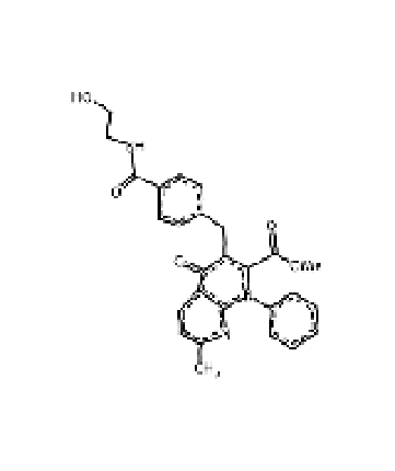 COC(=O)c1c(Cc2ccc(C(=O)NCCO)cc2)c(=O)c2ccc(C)nc2n1-c1ccccc1